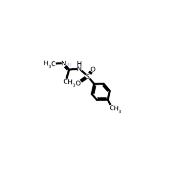 C/N=C(\C)NS(=O)(=O)c1ccc(C)cc1